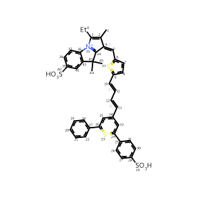 CCC1=C(C)/C(=C/c2ccc(/C=C/C=C/c3cc(-c4ccccc4)[s+]c(-c4ccc(S(=O)(=O)O)cc4)c3)s2)C2=[N+]1c1ccc(S(=O)(=O)O)cc1C2(C)C